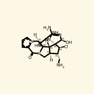 NC[C@@H]1[C@H]2CN3C(=O)c4cccn4[C@@H]4N=C(N)N[C@@]43[C@@H]2[C@]2(NC(N)=N[C@H]2O)[C@H]1Cl